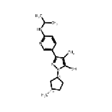 Cc1c(-c2ccc(NC(C)C)nc2)nn([C@H]2CC[C@H](C)C2)c1O